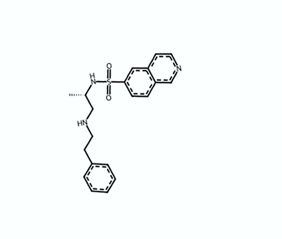 C[C@@H](CNCCc1ccccc1)NS(=O)(=O)c1ccc2cnccc2c1